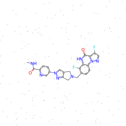 CNC(=O)c1ccc(-n2cc3c(n2)CN(Cc2ccc4c([nH]c(=O)c5c(F)cnn54)c2F)C3)cn1